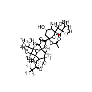 [2H]OC([2H])([2H])[C@@]([2H])(O[2H])[C@@]([2H])(O[2H])[C@]1([2H])O[C@](OC(=O)[C@]2(OC(C)=O)C[C@H](O)[C@@H](N)[C@]([2H])([C@]([2H])(O[2H])[C@]([2H])(O[2H])C([2H])O)O2)(C(=O)O)C([2H])([2H])[C@]([2H])(O[2H])[C@@]1([2H])N([2H])C(=O)C([2H])([2H])[2H]